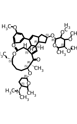 CC[C@H]1CCC[C@H](O[C@H]2CC[C@H](N(C)C)C(C)O2)[C@@H](C)C(=O)C2=C[C@@H]3C(C(c4cccc(OC)c4)=CC4C[C@@H](O[C@@H]5OC(C)[C@H](OC)C(OC)C5OC)C[C@H]43)[C@@H]2CC(=O)O1